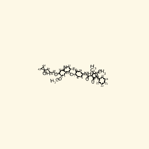 COc1cc2c(Oc3ccc(NC(=O)c4c(C)n(C)n(-c5ccccc5)c4=O)cc3F)ccnc2cc1OCCCC1(O)CC1